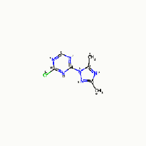 Cc1nc(C)n(-c2ncnc(Cl)n2)n1